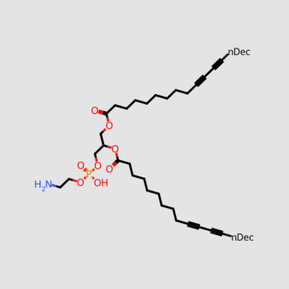 CCCCCCCCCCC#CC#CCCCCCCCCC(=O)OCC(COP(=O)(O)OCCN)OC(=O)CCCCCCCCC#CC#CCCCCCCCCCC